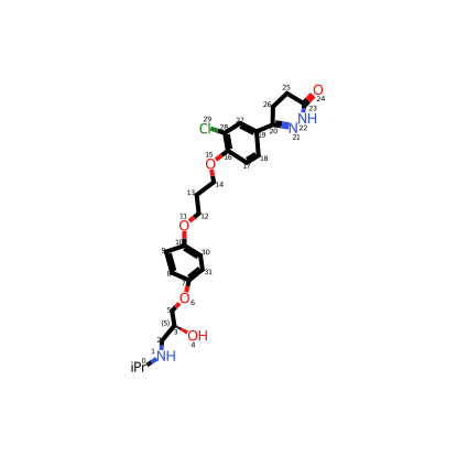 CC(C)NC[C@H](O)COc1ccc(OCCCOc2ccc(C3=NNC(=O)CC3)cc2Cl)cc1